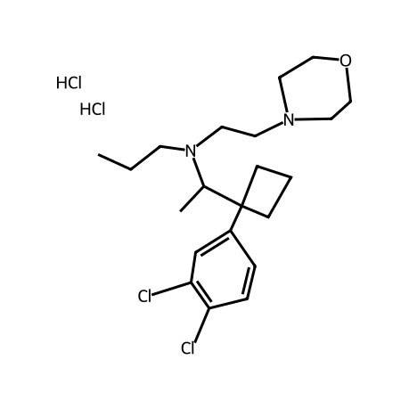 CCCN(CCN1CCOCC1)C(C)C1(c2ccc(Cl)c(Cl)c2)CCC1.Cl.Cl